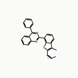 C/C=C\c1sc2c(-c3nc(-c4ccccc4)c4ccccc4n3)cccc2c1C